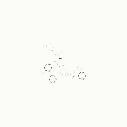 CCOC(CN(C(=O)C(Cc1ccc(Cl)cc1)NC(=O)C(CNS(=O)(=O)c1cc(Cl)ccc1OC)N(Cc1ccccc1)C(=O)O)C(C)C)OCC